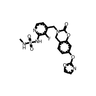 CNS(=O)(=O)Nc1nccc(CN2Cc3ccc(Oc4ncco4)cc3OC2=O)c1F